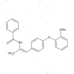 COc1ccccc1Oc1ccc(/C=C(\NC(=O)c2ccccc2)C(=O)O)cc1